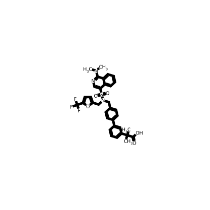 CN(C)c1ncc(S(=O)(=O)N(Cc2ccc(-c3cccc(C(C)(C)C(=O)O)c3)cc2)Cc2ccc(C(F)(F)F)o2)c2ccccc12